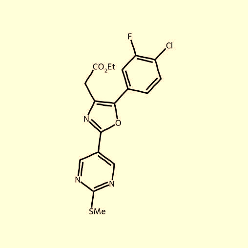 CCOC(=O)Cc1nc(-c2cnc(SC)nc2)oc1-c1ccc(Cl)c(F)c1